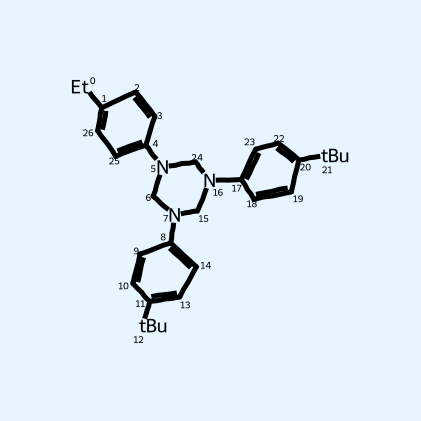 CCc1ccc(N2CN(c3ccc(C(C)(C)C)cc3)CN(c3ccc(C(C)(C)C)cc3)C2)cc1